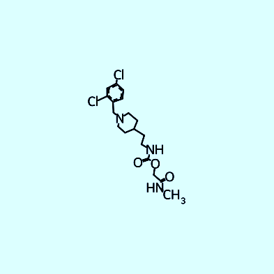 CNC(=O)COC(=O)NCCC1CCN(Cc2ccc(Cl)cc2Cl)CC1